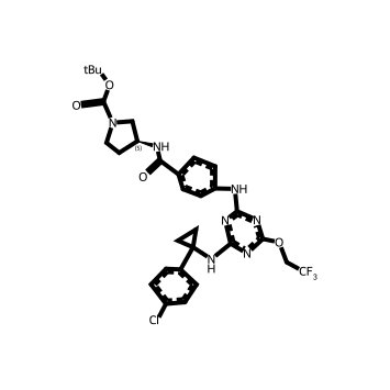 CC(C)(C)OC(=O)N1CC[C@H](NC(=O)c2ccc(Nc3nc(NC4(c5ccc(Cl)cc5)CC4)nc(OCC(F)(F)F)n3)cc2)C1